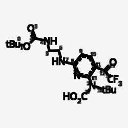 CC(C)(C)OC(=O)NCCNc1ccc(C(=O)C(F)(F)F)c(N(C(=O)O)C(C)(C)C)n1